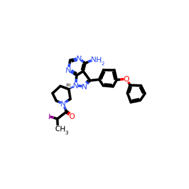 CC(I)C(=O)N1CCC[C@@H](n2nc(-c3ccc(Oc4ccccc4)cc3)c3c(N)ncnc32)C1